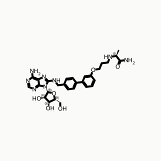 C[C@H](NCCCOc1cccc(-c2ccc(CNc3nc4c(N)ncnc4n3[C@@H]3O[C@H](CO)[C@@H](O)[C@H]3O)cc2)c1)C(N)=O